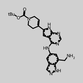 CC(C)(C)OC(=O)N1CC=C(c2cc3c(Nc4cc(CN)c5[nH]ncc5c4)ncnc3[nH]2)CC1